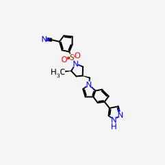 C[C@@H]1C[C@H](Cn2ccc3cc(-c4cn[nH]c4)ccc32)CN1S(=O)(=O)c1cccc(C#N)c1